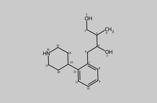 CC(CO)C(O)Cc1ccccc1C1CCNCC1